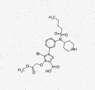 CCCCS(=O)(=O)N(c1cccc(-c2sc(C(=O)O)c(OCC(=O)OC)c2Br)c1)C1CCNCC1